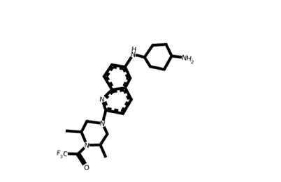 CC1CN(c2ccc3cc(NC4CCC(N)CC4)ccc3n2)CC(C)N1C(=O)C(F)(F)F